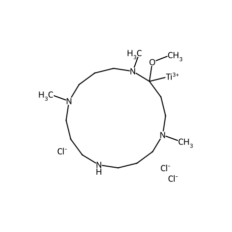 CO[C]1([Ti+3])CCN(C)CCCNCCCN(C)CCCN1C.[Cl-].[Cl-].[Cl-]